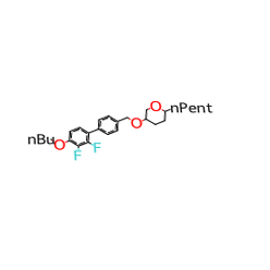 CCCCCC1CCC(OCc2ccc(-c3ccc(OCCCC)c(F)c3F)cc2)CO1